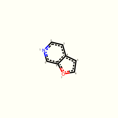 [c]1nccc2ccoc12